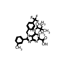 Cc1cccc(-c2nc3nc(C(=O)O)nc(NC(C)C(C)(C)C)c3n2Cc2ccc(C(F)(F)F)cc2)c1